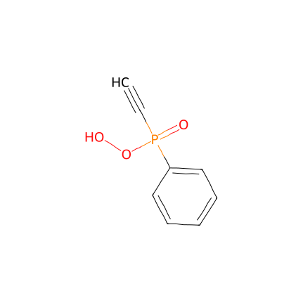 C#CP(=O)(OO)c1ccccc1